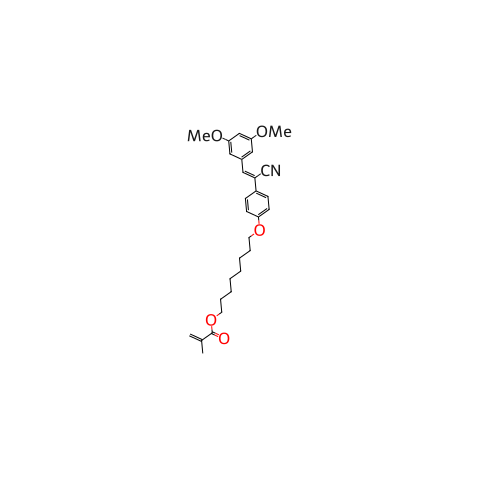 C=C(C)C(=O)OCCCCCCCCOc1ccc(/C(C#N)=C/c2cc(OC)cc(OC)c2)cc1